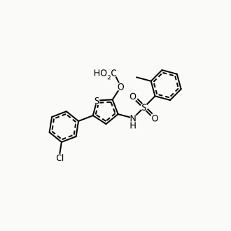 Cc1ccccc1S(=O)(=O)Nc1cc(-c2cccc(Cl)c2)sc1OC(=O)O